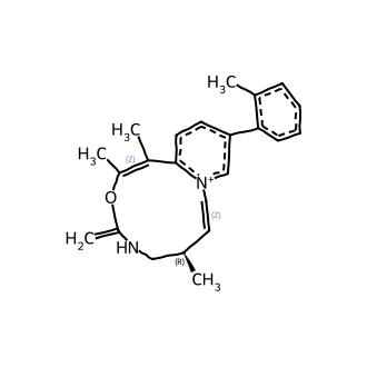 C=C1NC[C@H](C)/C=C\[n+]2cc(-c3ccccc3C)ccc2/C(C)=C(/C)O1